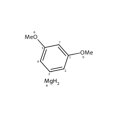 COc1c[c]cc(OC)c1.[MgH2]